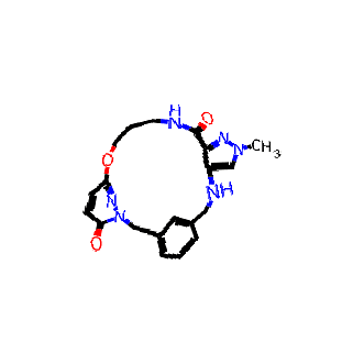 Cn1cc2c(n1)C(=O)NCCCOc1ccc(=O)n(n1)Cc1cccc(c1)CN2